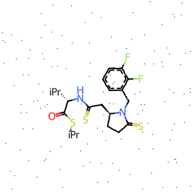 CC(C)SC(=O)[C@@H](NC(=S)C[C@@H]1CCC(=S)N1Cc1cccc(F)c1F)C(C)C